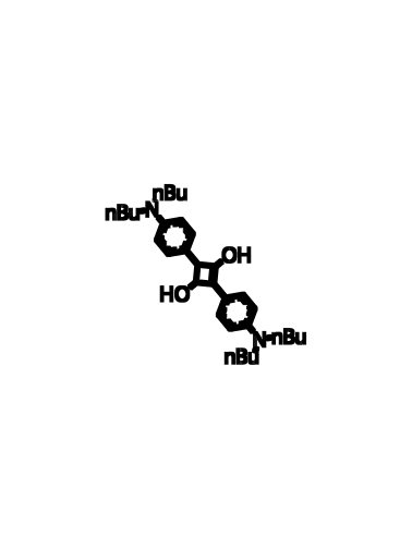 CCCCN(CCCC)c1ccc(C2=C(O)C(c3ccc(N(CCCC)CCCC)cc3)C2O)cc1